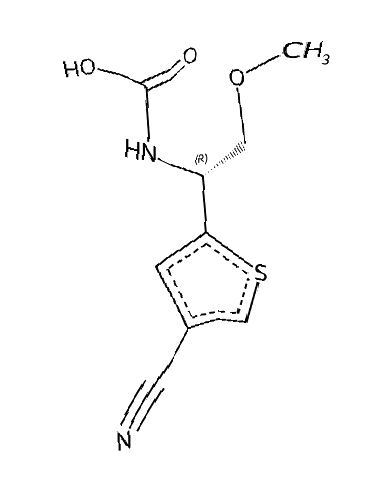 COC[C@@H](NC(=O)O)c1cc(C#N)cs1